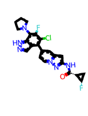 O=C(Nc1cc2cc(-c3c(Cl)c(F)c(N4CCCC4)c4[nH]ncc34)ccn2n1)[C@@H]1C[C@@H]1F